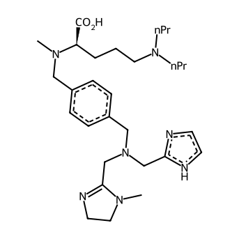 CCCN(CCC)CCC[C@H](C(=O)O)N(C)Cc1ccc(CN(CC2=NCCN2C)Cc2ncc[nH]2)cc1